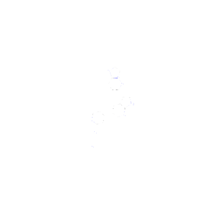 CN1CCN(c2cc(-c3cnc4[nH]cc(-c5ccc6nccn6n5)c4c3)ccn2)CC1